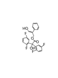 O=C(OCC(=CO)c1ccccc1)C(O)(c1cc(F)ccc1F)c1cc(F)ccc1F